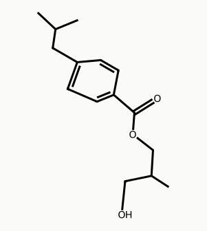 CC(C)Cc1ccc(C(=O)OCC(C)CO)cc1